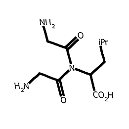 CC(C)CC(C(=O)O)N(C(=O)CN)C(=O)CN